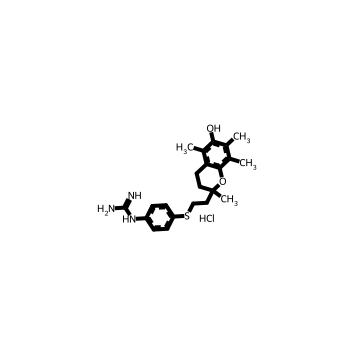 Cc1c(C)c2c(c(C)c1O)CCC(C)(CCSc1ccc(NC(=N)N)cc1)O2.Cl